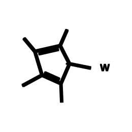 C[C]1C(C)=C(C)C(C)=C1C.[W]